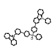 O=P(c1ccccc1)(c1ccc(-c2cccc(-n3c4ccccc4c4ccccc43)c2)cc1)c1ccc(-c2ccc3c4ccccc4n(-c4ccccc4)c3c2)cc1